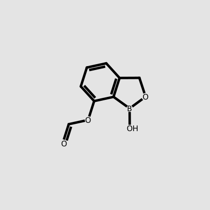 O=COc1cccc2c1B(O)OC2